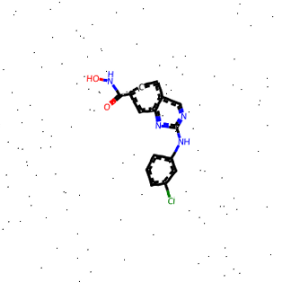 O=C(NO)c1ccc2cnc(Nc3cccc(Cl)c3)nc2c1